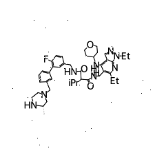 CCc1nc2c(cnn2CC)c(NC2CCOCC2)c1CNC(=O)C(C(=O)NCc1ccc(F)c(-c2cccc(CN3CCN[C@@H](C)C3)c2)c1)C(C)C